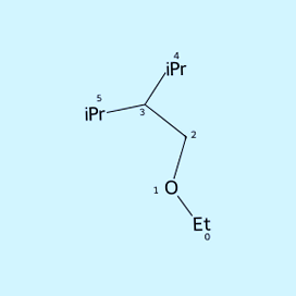 CCOCC(C(C)C)C(C)C